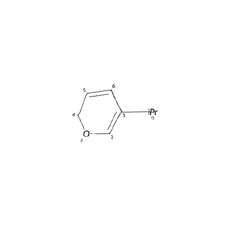 CC(C)C1=COCC=C1